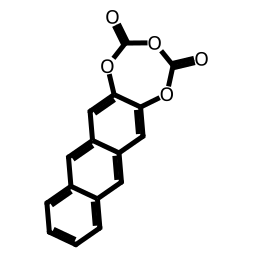 O=C1OC(=O)Oc2cc3cc4ccccc4cc3cc2O1